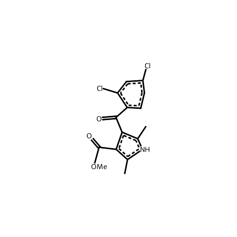 COC(=O)c1c(C)[nH]c(C)c1C(=O)c1ccc(Cl)cc1Cl